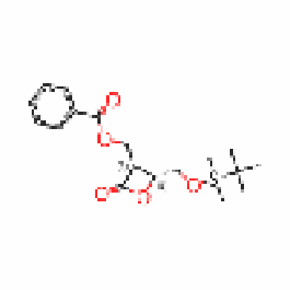 CC(C)(C)[Si](C)(C)OC[C@@H]1OC(=O)[C@H]1COC(=O)c1ccccc1